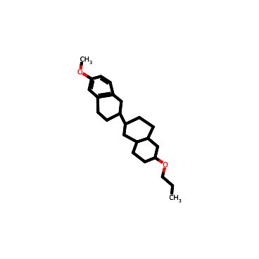 CCCOC1CCC2CC(C3CCc4cc(OC)ccc4C3)CCC2C1